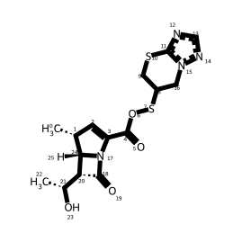 C[C@@H]1C=C(C(=O)OSC2CSc3ncnn3C2)N2C(=O)[C@H]([C@@H](C)O)[C@H]12